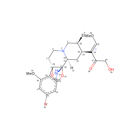 CC[C@@H]1CN2CC[C@@]34OCCO[C@@]3(Nc3cc(Br)cc(OC)c34)[C@@H]2C[C@@H]1/C(=C\OC)C(=O)CO